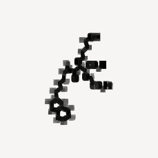 CCOC(=O)CO[C@@H](C(=O)O)[C@@H](OCCCCO)C(=O)N(C)CCCCCc1ccc2ccccc2c1